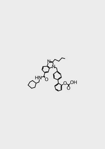 CCCCc1nc2ccc(C(=O)NCC3CCCCC3)cc2n1Cc1ccc(-c2ccccc2OC(=O)O)cc1